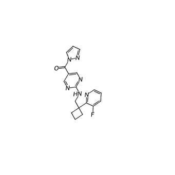 O=C(c1cnc(NCC2(c3ncccc3F)CCC2)nc1)n1cccn1